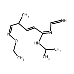 CCO/N=C\C(C)/C=C/C(=N\C=N)NC(C)C